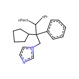 CCCCCC(CCC)C(Cn1ccnc1)(c1ccccc1)C1CCCC1